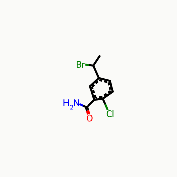 CC(Br)c1ccc(Cl)c(C(N)=O)c1